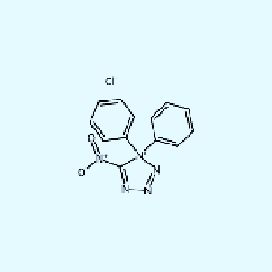 O=[N+]([O-])C1=NN=N[N+]1(c1ccccc1)c1ccccc1.[Cl-]